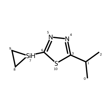 CC(C)c1nnc([SiH]2CC2)s1